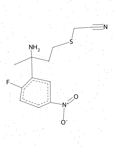 CC(N)(CCSCC#N)c1cc([N+](=O)[O-])ccc1F